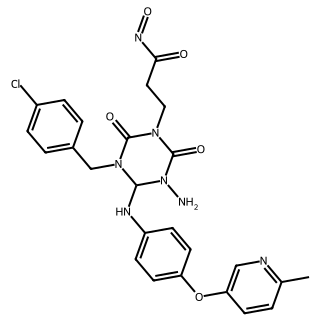 Cc1ccc(Oc2ccc(NC3N(N)C(=O)N(CCC(=O)N=O)C(=O)N3Cc3ccc(Cl)cc3)cc2)cn1